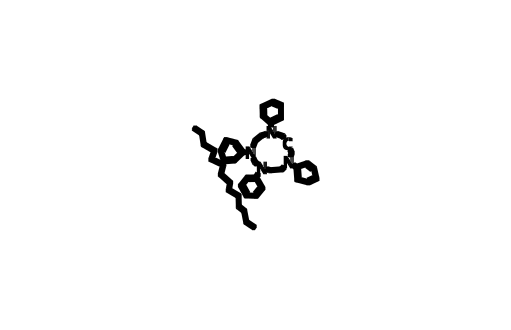 CCCCCCCCCCCCCC.c1ccc(N2CCCN(c3ccccc3)CCN(c3ccccc3)CN(c3ccccc3)CC2)cc1